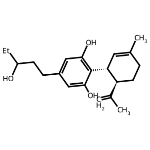 C=C(C)[C@@H]1CCC(C)=C[C@H]1c1c(O)cc(CCC(O)CC)cc1O